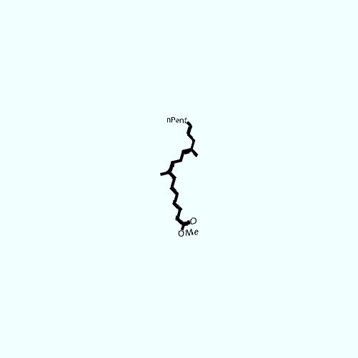 CCCCCC=CCC(C)=CCC=C(C)CCCCCCC(=O)OC